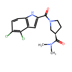 CN(C)C(=O)[C@@H]1CCN(C(=O)c2cc3c(Cl)c(Cl)ccc3[nH]2)C1